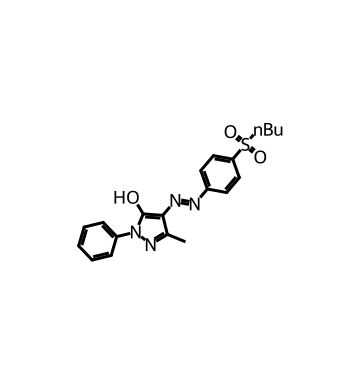 CCCCS(=O)(=O)c1ccc(N=Nc2c(C)nn(-c3ccccc3)c2O)cc1